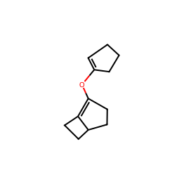 C1=C(OC2=C3CCC3CC2)CCC1